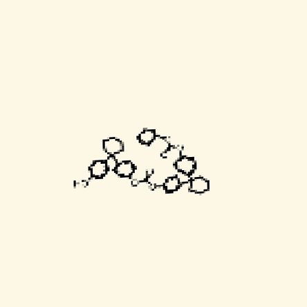 O=C(Oc1ccccc1)Oc1ccc(C2(c3ccc(OC(=O)Oc4ccc(C5(c6ccc(O)cc6)CCCCC5)cc4)cc3)CCCCC2)cc1